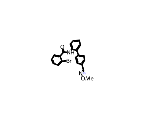 CO/N=C/c1ccc(-c2ccccc2NC(=O)c2ccccc2Br)cc1